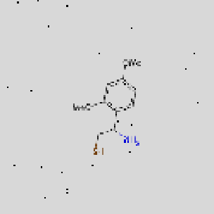 COc1ccc(C(N)CS)c(OC)c1